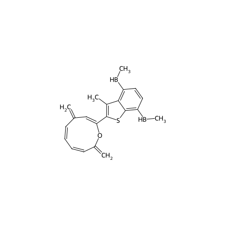 C=c1ccccc(=C)oc(-c2sc3c(BC)ccc(BC)c3c2C)c1